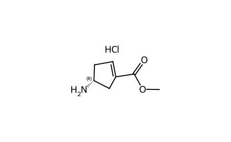 COC(=O)C1=CC[C@@H](N)C1.Cl